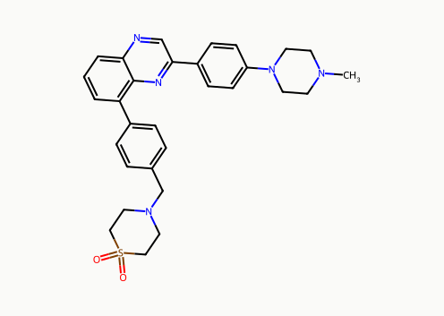 CN1CCN(c2ccc(-c3cnc4cccc(-c5ccc(CN6CCS(=O)(=O)CC6)cc5)c4n3)cc2)CC1